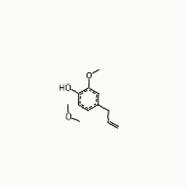 C=CCc1ccc(O)c(OC)c1.COC